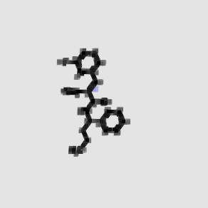 CCCC(NC(=O)/C(C#N)=C/c1cccc(F)n1)c1ccccc1